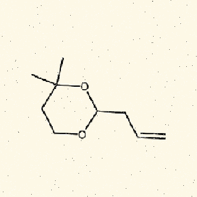 C=CCC1OCCC(C)(C)O1